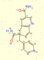 NC(=O)c1cnc2c(c1)CC(Cc1ccncc1)(C(N)=O)C=C2